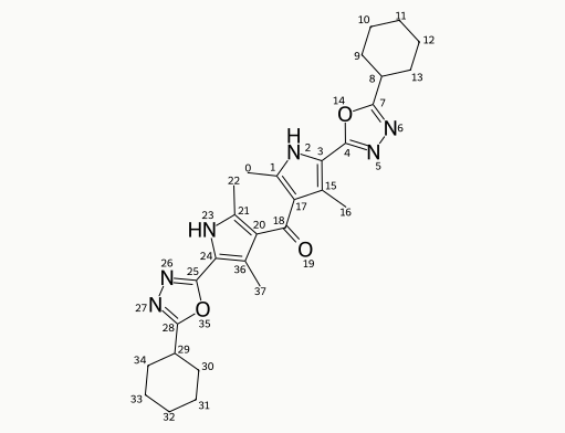 Cc1[nH]c(-c2nnc(C3CCCCC3)o2)c(C)c1C(=O)c1c(C)[nH]c(-c2nnc(C3CCCCC3)o2)c1C